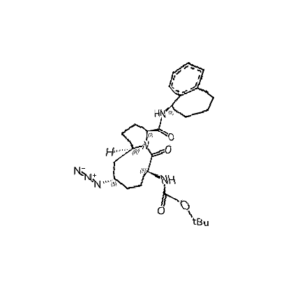 CC(C)(C)OC(=O)N[C@H]1CC[C@H](N=[N+]=[N-])C[C@H]2CC[C@@H](C(=O)N[C@@H]3CCCc4ccccc43)N2C1=O